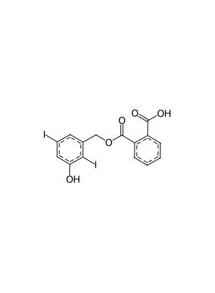 O=C(O)c1ccccc1C(=O)OCc1cc(I)cc(O)c1I